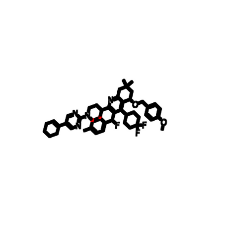 COc1ccc(COC2CC(C)(C)Cc3nc(C4CCN(c5ncc(C6=CCCCC6)cn5)CC4)c(C(F)c4ccc(C)cc4)c(C4CCC(F)(F)CC4)c32)cc1